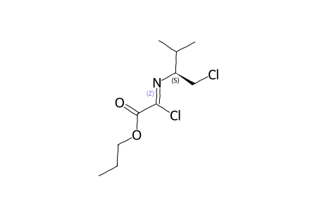 CCCOC(=O)/C(Cl)=N/[C@H](CCl)C(C)C